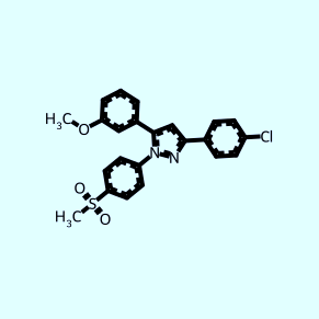 COc1cccc(-c2cc(-c3ccc(Cl)cc3)nn2-c2ccc(S(C)(=O)=O)cc2)c1